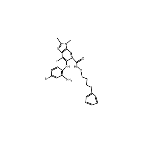 Cc1nc2c(F)c(Nc3ccc(Br)cc3N)c(C(=O)NOCCCSc3ccccc3)cc2n1C